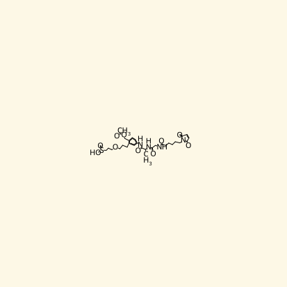 CC(=O)OCc1ccc(NC(=O)C(C)NC(=O)CNC(=O)CCCCCN2C(=O)C=CC2=O)cc1CCCOCCCS(=O)O